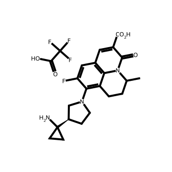 CC1CCc2c(N3CC[C@@H](C4(N)CC4)C3)c(F)cc3cc(C(=O)O)c(=O)n1c23.O=C(O)C(F)(F)F